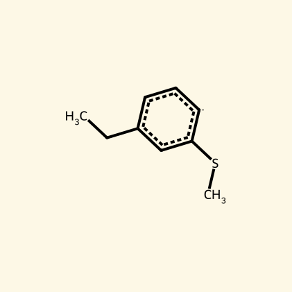 CCc1cc[c]c(SC)c1